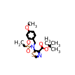 C=CS(=O)(=O)N(Cc1ccc(OC)cc1)c1scnc1C(=O)OC(C)(C)C